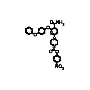 NC(=O)c1ccc(N2CCN(C(=O)Oc3ccc([N+](=O)[O-])cc3)CC2)nc1Oc1ccc(Oc2ccccc2)cc1